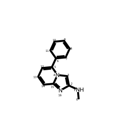 CNc1cn2c(-c3ccccc3)cccc2n1